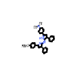 CCN(CC)c1ccc(-c2cc(-c3ccccc3)c(/N=C3\N=C(c4ccc(OC)cc4)C=C3c3ccccc3)[nH]2)cc1